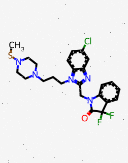 CSN1CCN(CCCn2c(CN3C(=O)C(F)(F)c4ccccc43)nc3cc(Cl)ccc32)CC1